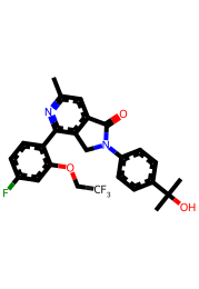 Cc1cc2c(c(-c3ccc(F)cc3OCC(F)(F)F)n1)CN(c1ccc(C(C)(C)O)cc1)C2=O